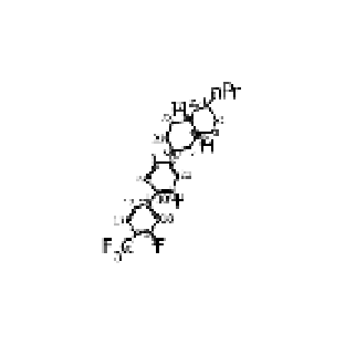 CCCC1CC[C@@H]2C[C@H](c3ccc(-c4ccc(C(F)(F)F)c(F)c4)c(F)c3)CC[C@@H]2C1